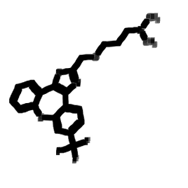 CN(C)CCCOCc1nc2c(s1)-c1ccccc1Sc1cc(C(F)(F)F)ccc1-2